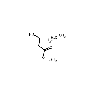 CCCC(=O)O.O.O.O.[CaH2]